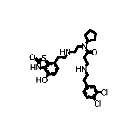 O=C(CCNCCc1ccc(Cl)c(Cl)c1)N(CCNCCc1ccc(O)c2[nH]c(=O)sc12)C1CCCC1